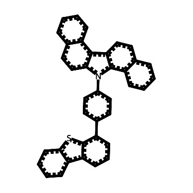 c1ccc2c(c1)ccc1c2c2ccc3ccccc3c2n1-c1ccc(-c2cccc3c2sc2ccccc23)cc1